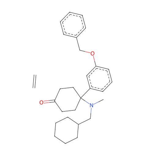 C=C.CN(CC1CCCCC1)C1(c2cccc(OCc3ccccc3)c2)CCC(=O)CC1